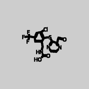 O=Cc1nccnc1Sc1c(Cl)cc(C(F)(F)F)cc1CNC(=O)O